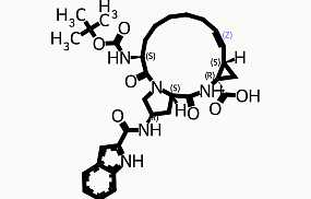 CC(C)(C)OC(=O)N[C@H]1CCCCC/C=C\[C@@H]2C[C@@]2(C(=O)O)NC(=O)[C@@H]2C[C@@H](NC(=O)c3cc4ccccc4[nH]3)CN2C1=O